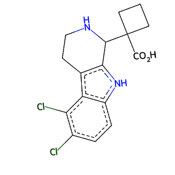 O=C(O)C1(C2NCCc3c2[nH]c2ccc(Cl)c(Cl)c32)CCC1